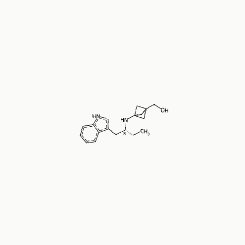 CC[C@H](Cc1c[nH]c2ccccc12)NC12CC(CO)(C1)C2